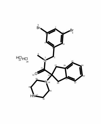 CN(Cc1cc(Br)cc(Br)c1)C(=O)C1(N2CCNCC2)Cc2ccccc2C1.Cl.Cl